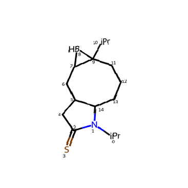 CC(C)N1C(=S)CC2CC3BC3(C(C)C)CCCC21